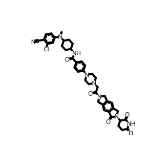 CN(c1ccc(C#N)c(Cl)c1)C1CCC(NC(=O)c2ccc(N3CCN(CC(=O)N4Cc5cc6c(cc5C4)C(=O)N(C4CCC(=O)NC4=O)C6)CC3)cc2)CC1